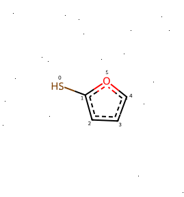 Sc1cc[c]o1